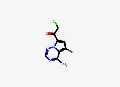 Nc1ncnn2c(C(=O)CCl)cc(Br)c12